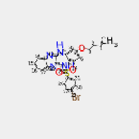 CCCCOc1cccc(Nc2nc3ccccc3nc2NS(=O)(=O)c2ccc(Br)cc2)c1